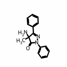 CC1(N)C(=O)N(c2ccccc2)N=C1c1ccccc1